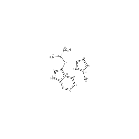 N[C@@H](Cc1c[nH]c2ccccc12)C(=O)O.Oc1ccco1